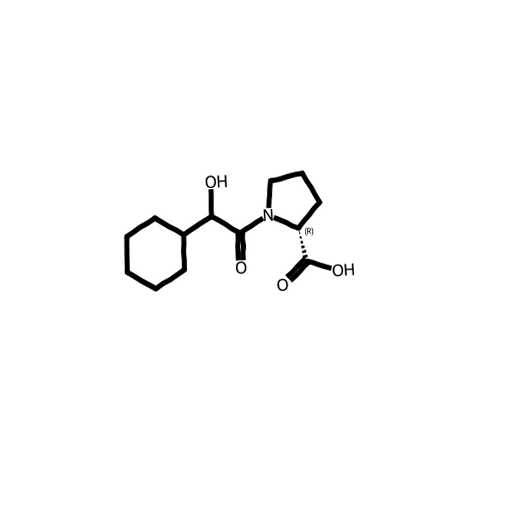 O=C(O)[C@H]1CCCN1C(=O)C(O)C1CCCCC1